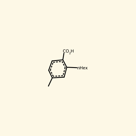 CCCCCCc1cc(C)ccc1C(=O)O